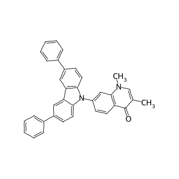 Cc1cn(C)c2cc(-n3c4ccc(-c5ccccc5)cc4c4cc(-c5ccccc5)ccc43)ccc2c1=O